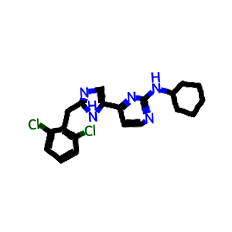 Clc1cccc(Cl)c1Cc1ncc(-c2ccnc(NC3CCCCC3)n2)[nH]1